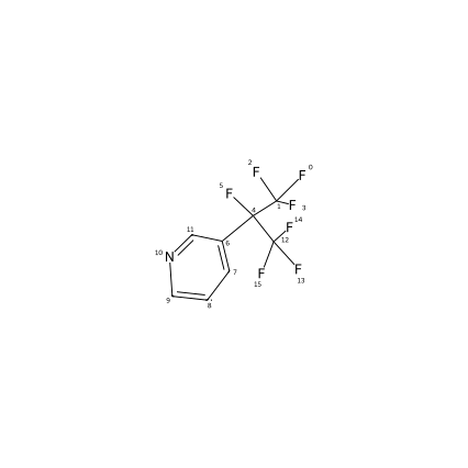 FC(F)(F)C(F)(c1c[c]cnc1)C(F)(F)F